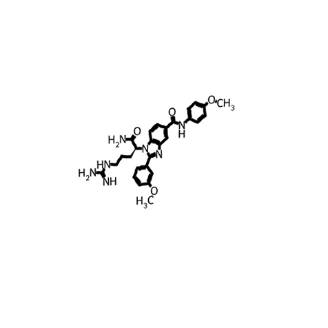 COc1ccc(NC(=O)c2ccc3c(c2)nc(-c2cccc(OC)c2)n3[C@@H](CCCNC(=N)N)C(N)=O)cc1